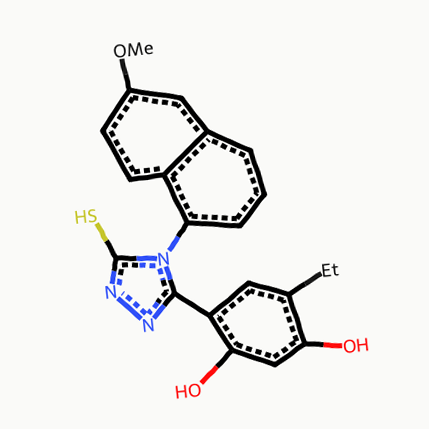 CCc1cc(-c2nnc(S)n2-c2cccc3cc(OC)ccc23)c(O)cc1O